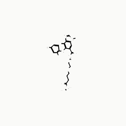 Cn1cnc2c(F)c(Nc3ccc(Br)cc3Cl)c(C(=O)NOCCOCCCC(=O)NO)cc21